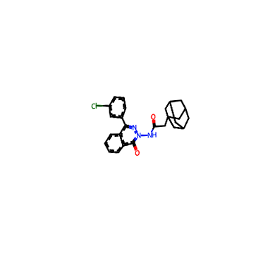 O=C(CC12CC3CC(CC(C3)C1)C2)Nn1nc(-c2cccc(Cl)c2)c2ccccc2c1=O